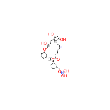 O=C(CCC/C=C\C[C@@H]1[C@@H](CC[C@@H](O)COc2cccc(C(F)(F)F)c2)[C@H](O)C[C@@H]1O)Oc1cccc(CON(O)O)c1